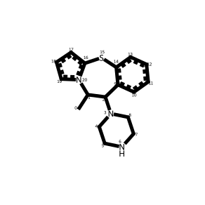 CC1C(N2CCNCC2)c2ccccc2Sc2cccn21